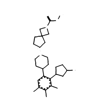 Cc1cc(C2CCN([C@@H]3CCC4(C3)CN(C(=O)OC(C)(C)C)C4)CC2)c(C2CCC(O)C2)c(C)c1C